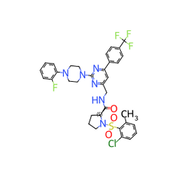 Cc1cccc(Cl)c1S(=O)(=O)N1CCC[C@H]1C(=O)NCc1cc(-c2ccc(C(F)(F)F)cc2)nc(N2CCN(c3ccccc3F)CC2)n1